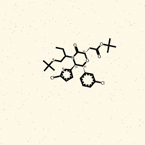 CCC(CSC(C)(C)C)N1C(=O)[C@H](CC(=O)OC(C)(C)C)O[C@H](c2cccc(Cl)c2)[C@H]1c1ccc(Cl)s1